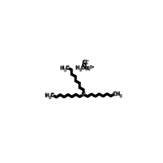 CCCCCCCCN(CCCCCCCC)CCCCCCCC.[CH3][Al+2].[Cl-].[Cl-]